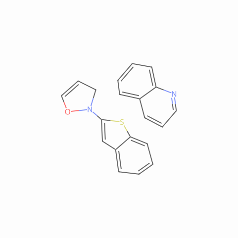 C1=CON(c2cc3ccccc3s2)C1.c1ccc2ncccc2c1